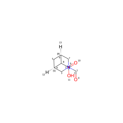 O=CN1C[C@H]2C[C@@H](C1)C2C(=O)O